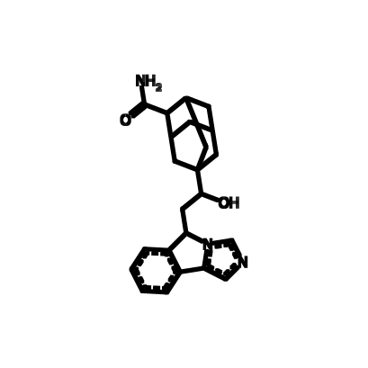 NC(=O)C1C2CC3CC1CC(C(O)CC1c4ccccc4-c4cncn41)(C3)C2